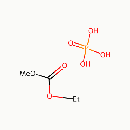 CCOC(=O)OC.O=P(O)(O)O